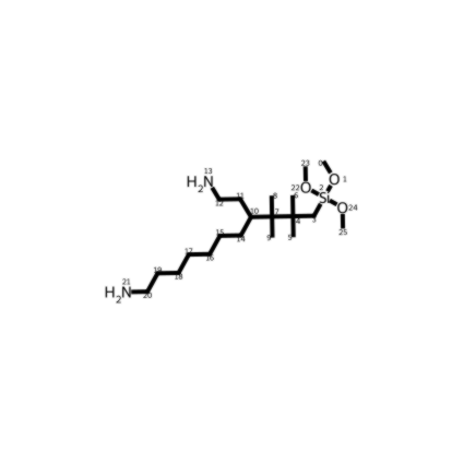 CO[Si](CC(C)(C)C(C)(C)C(CCN)CCCCCCCN)(OC)OC